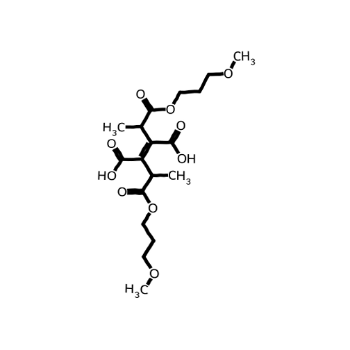 COCCCOC(=O)C(C)C(C(=O)O)=C(C(=O)O)C(C)C(=O)OCCCOC